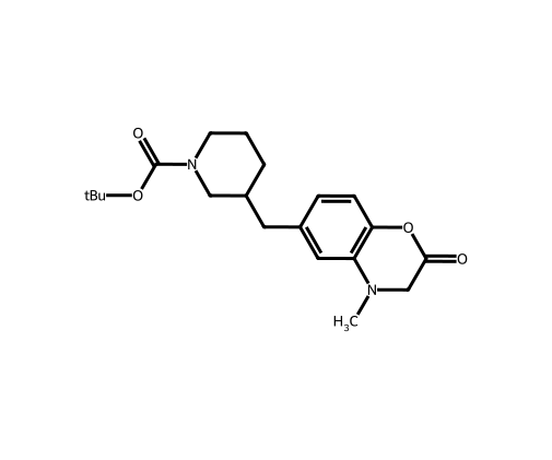 CN1CC(=O)Oc2ccc(CC3CCCN(C(=O)OC(C)(C)C)C3)cc21